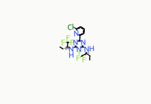 CC[C@H](Nc1nc(N[C@H](CC)C(F)(F)F)nc(-c2cccc(Cl)n2)n1)C(F)(F)F